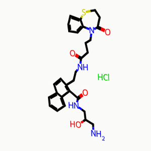 Cl.NCC(O)CNC(=O)c1c(CCNC(=O)CCCN2C(=O)CCSc3ccccc32)ccc2ccccc12